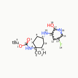 CC(C)(C)OC(=O)N[C@]1(C(=O)O)CC[C@H](Nc2cc(F)cnc2O)CC1